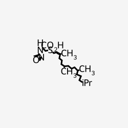 CC(=CCSCC(Nc1cocn1)C(=O)O)CCCC(C)CCCC(C)CCCC(C)C